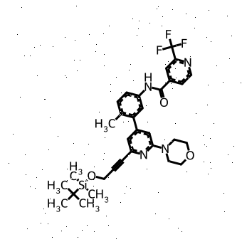 Cc1ccc(NC(=O)c2ccnc(C(F)(F)F)c2)cc1-c1cc(C#CCO[Si](C)(C)C(C)(C)C)nc(N2CCOCC2)c1